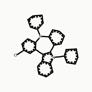 Clc1ccc2c(c1)-c1c(n(-c3ccccc3)c3ccccc13)-c1ccccc1N2c1ccccc1